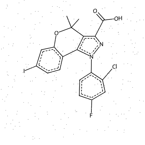 CC1(C)Oc2cc(I)ccc2-c2c1c(C(=O)O)nn2-c1ccc(F)cc1Cl